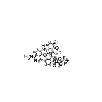 CCOc1cc([C@@H](Nc2ccc3c(N)nccc3c2)C(=O)N2CCC(C(=O)OC(=O)C(F)(F)F)C2c2ccccc2S(=O)(=O)CC)ccc1Cl